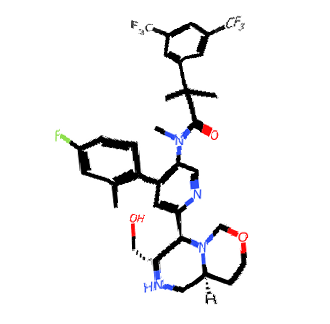 Cc1cc(F)ccc1-c1cc([C@@H]2[C@@H](CO)NC[C@@H]3CCOCN32)ncc1N(C)C(=O)C(C)(C)c1cc(C(F)(F)F)cc(C(F)(F)F)c1